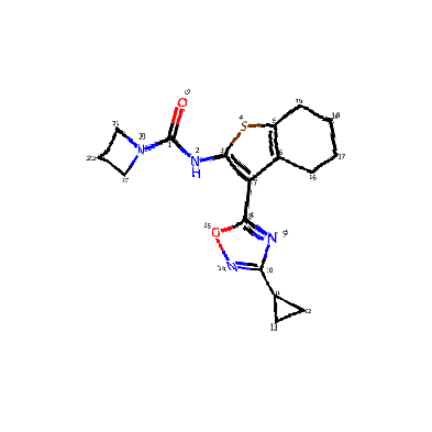 O=C(Nc1sc2c(c1-c1nc(C3CC3)no1)CCCC2)N1CCC1